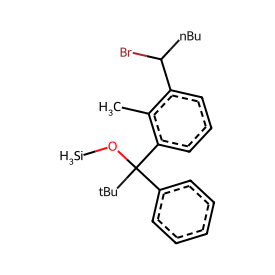 CCCCC(Br)c1cccc(C(O[SiH3])(c2ccccc2)C(C)(C)C)c1C